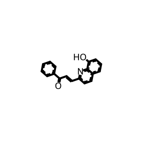 O=C(C=Cc1ccc2cccc(O)c2n1)c1ccccc1